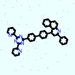 c1ccc(-c2cc(-c3ccc(-c4ccc(-c5nc(-c6ccccn6)nc(-c6ccccn6)n5)cc4)cc3)c3c(ccc4ccccc43)n2)cc1